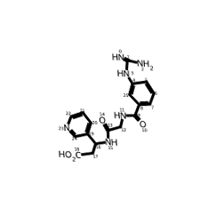 N=C(N)Nc1cccc(C(=O)NCC(=O)NC(CC(=O)O)c2cccnc2)c1